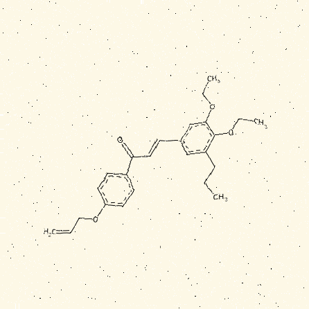 C=CCOc1ccc(C(=O)C=Cc2cc(CCC)c(OCC)c(OCC)c2)cc1